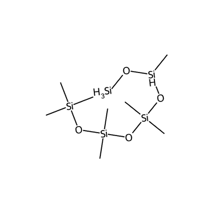 C[SiH](O[SiH3])O[Si](C)(C)O[Si](C)(C)O[Si](C)(C)C